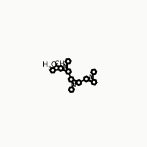 CC1(C)c2ccccc2-c2cc3c4cc(-c5ccc6c(c5)c5cc(-c7ccc8c(c7)c7ccccc7n8-c7ccccc7)ccc5n6-c5ccccc5)ccc4n(-c4ccccc4)c3cc21